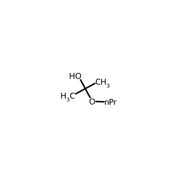 CCCOC(C)(C)O